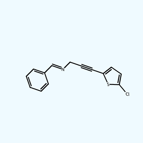 Clc1ccc(C#CCN=Cc2ccccc2)s1